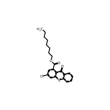 CCCCCCCCOC(=O)c1cc(Cl)cc2sc3ccccc3c(=O)c12